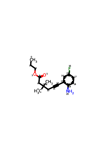 CCCOC(=O)CC(C)(C)CC#Cc1cc(F)ccc1N